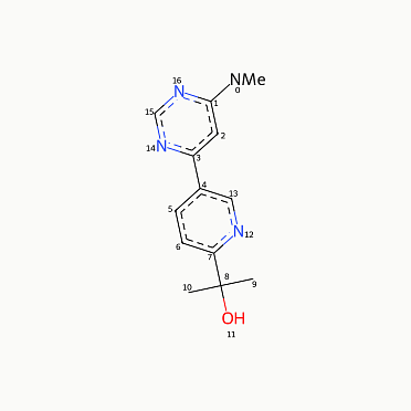 CNc1cc(-c2ccc(C(C)(C)O)nc2)ncn1